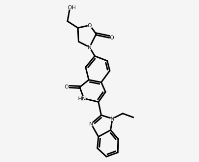 CCn1c(-c2cc3ccc(N4CC(CO)OC4=O)cc3c(=O)[nH]2)nc2ccccc21